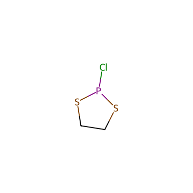 ClP1SCCS1